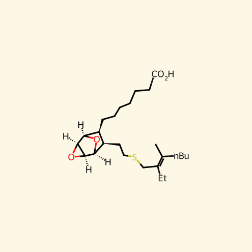 CCCCC(C)=C(CC)CSCC[C@@H]1[C@H](CCCCCCC(=O)O)[C@H]2O[C@@H]1[C@H]1O[C@H]12